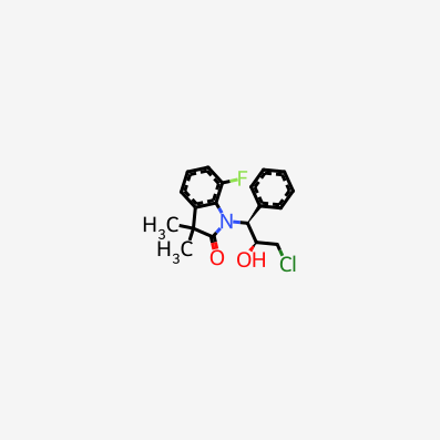 CC1(C)C(=O)N([C@@H](c2ccccc2)[C@H](O)CCl)c2c(F)cccc21